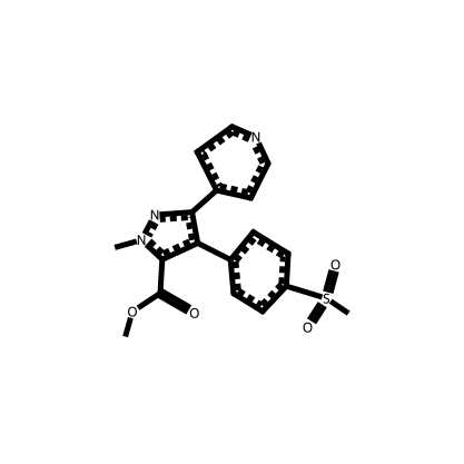 COC(=O)c1c(-c2ccc(S(C)(=O)=O)cc2)c(-c2ccncc2)nn1C